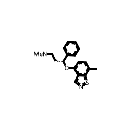 CNCC[C@@H](Oc1ccc(C)c2sncc12)c1ccccc1